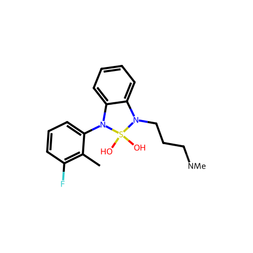 CNCCCN1c2ccccc2N(c2cccc(F)c2C)S1(O)O